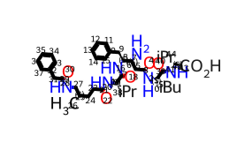 CC[C@H](C)[C@H](NC(=O)C[C@H](N)[C@H](Cc1ccccc1)NC(=O)[C@@H](NC(=O)CC[C@H](C)CNC(=O)Cc1ccccc1)C(C)C)C(=O)N[C@H](C(=O)O)C(C)C